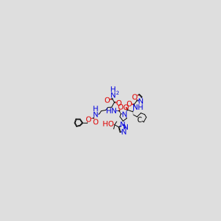 CC(C)(O)c1cnnn1[C@H]1C[C@@H](C(=O)NC(CCCCNC(=O)OCc2ccccc2)C(=O)C(N)=O)N(C(=O)[C@@H](CC2CCCCC2)NC(=O)c2ncco2)C1